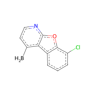 Bc1ccnc2oc3c(Cl)cccc3c12